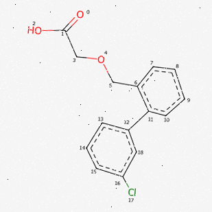 O=C(O)COCc1ccccc1-c1cccc(Cl)c1